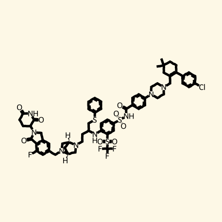 CC1(C)CCC(c2ccc(Cl)cc2)=C(CN2CCN(c3ccc(C(=O)NS(=O)(=O)c4ccc(NC(CCN5C[C@@H]6C[C@H]5CN6Cc5cc(F)c6c(c5)CN(C5CCC(=O)NC5=O)C6=O)CSc5ccccc5)c(S(=O)(=O)C(F)(F)F)c4)cc3)CC2)C1